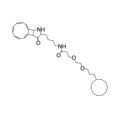 O=C(CCOCCOCCCC1CCCCCCCCC1)NCCCCC1NC2c3ccccccccc3C2C1=O